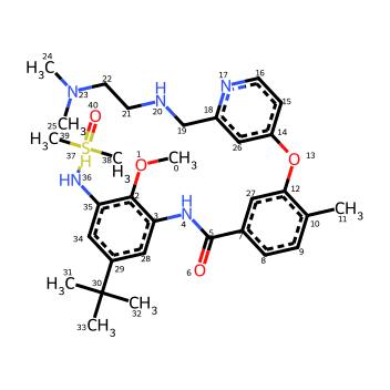 COc1c(NC(=O)c2ccc(C)c(Oc3ccnc(CNCCN(C)C)c3)c2)cc(C(C)(C)C)cc1N[SH](C)(C)=O